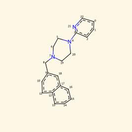 c1ccc(N2CCN(Cc3ccc4ccccc4c3)CC2)nc1